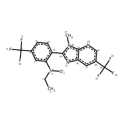 CC[S+]([O-])c1cc(C(F)(F)F)ccc1-c1nc2cc(C(F)(F)F)cnc2n1C